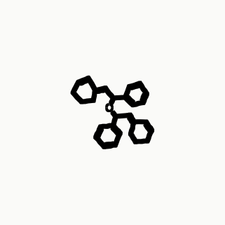 C1=CC(=CC(OC(C=C2C=CCCC2)c2ccccc2)c2ccccc2)CCC1